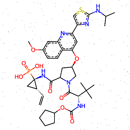 C=C[C@@H]1C[C@]1(NC(=O)C1C[C@@H](Oc2cc(-c3csc(NC(C)C)n3)nc3cc(OC)ccc23)CN1C(=O)[C@@H](NC(=O)OC1CCCC1)C(C)(C)C)P(=O)(O)O